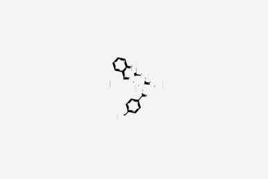 Cc1nc(NC(=N)NC(=O)c2ccc(Cl)cc2)nc2ccccc12